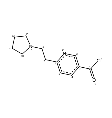 O=C(Cl)c1ccc(CCN2CCCC2)nc1